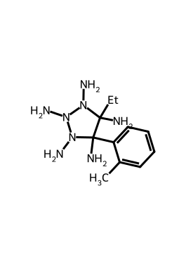 CCC1(N)N(N)N(N)N(N)C1(N)c1ccccc1C